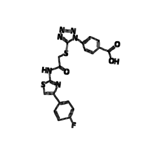 O=C(CSc1nnnn1-c1ccc(C(=O)O)cc1)Nc1nc(-c2ccc(F)cc2)cs1